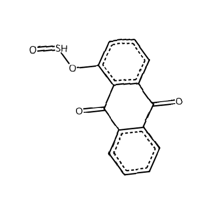 O=[SH]Oc1cccc2c1C(=O)c1ccccc1C2=O